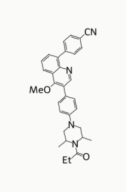 CCC(=O)N1C(C)CN(c2ccc(-c3cnc4c(-c5ccc(C#N)cc5)cccc4c3OC)cc2)CC1C